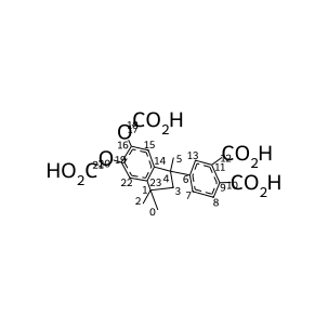 CC1(C)CC(C)(c2ccc(C(=O)O)c(C(=O)O)c2)c2cc(OC(=O)O)c(OC(=O)O)cc21